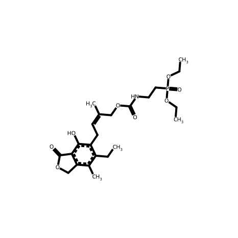 CCOP(=O)(CCNC(=O)OCC(C)=CCc1c(O)c2c(c(C)c1CC)COC2=O)OCC